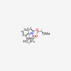 CNC(=O)n1c(OCCOC)cc2ccccc21.CS(=O)(=O)O